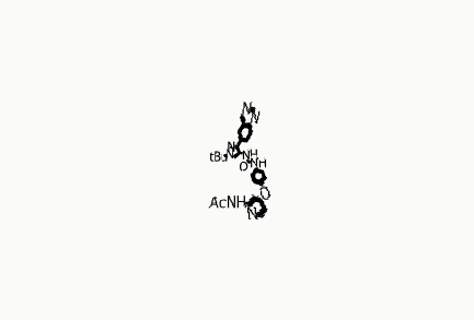 CC(=O)Nc1cc(Oc2ccc(NC(=O)Nc3cn(C(C)(C)C)nc3-c3ccc4ncncc4c3)cc2)ccn1